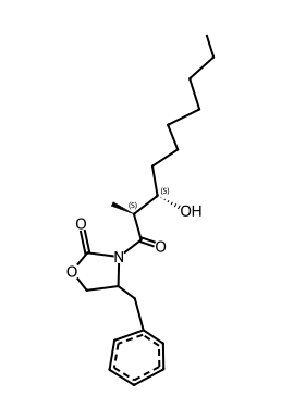 CCCCCCC[C@H](O)[C@H](C)C(=O)N1C(=O)OCC1Cc1ccccc1